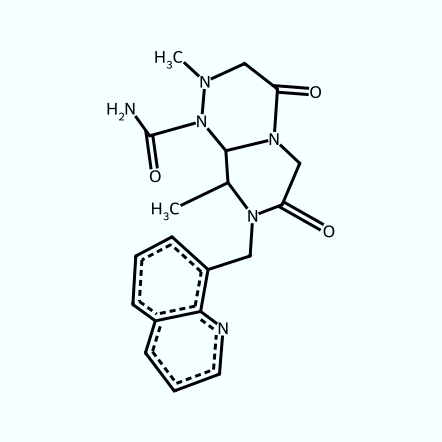 CC1C2N(CC(=O)N1Cc1cccc3cccnc13)C(=O)CN(C)N2C(N)=O